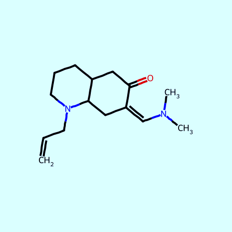 C=CCN1CCCC2CC(=O)/C(=C\N(C)C)CC21